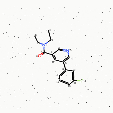 CCN(CC)C(=O)c1cncc(-c2cccc(F)c2)c1